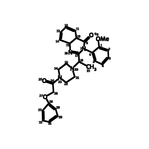 COc1ccccc1N1C(=O)C2C=CC=CC2N=C1C(C)N1CCN(C(=O)COc2ccccc2)CC1